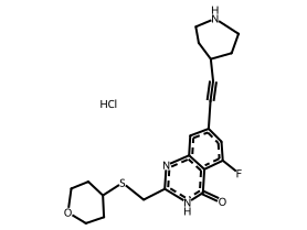 Cl.O=c1[nH]c(CSC2CCOCC2)nc2cc(C#CC3CCNCC3)cc(F)c12